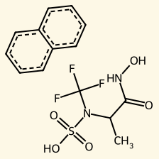 CC(C(=O)NO)N(C(F)(F)F)S(=O)(=O)O.c1ccc2ccccc2c1